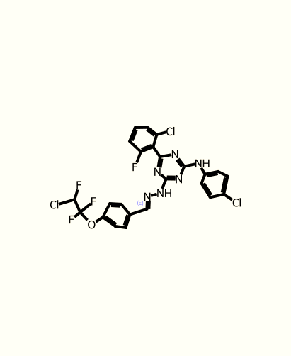 Fc1cccc(Cl)c1-c1nc(N/N=C/c2ccc(OC(F)(F)C(F)Cl)cc2)nc(Nc2ccc(Cl)cc2)n1